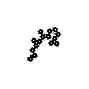 C1=CC2c3cccc(-c4ccc5c6ccccc6c6ccccc6c5c4)c3SC2C(c2cccc(C3=CC=CC4c5cc(-c6ccc7c8ccc(-c9cccc(-c%10cccc%11c%10sc%10ccccc%10%11)c9)cc8c8ccccc8c7c6)cc(-c6ccccc6)c5SC34)c2)=C1